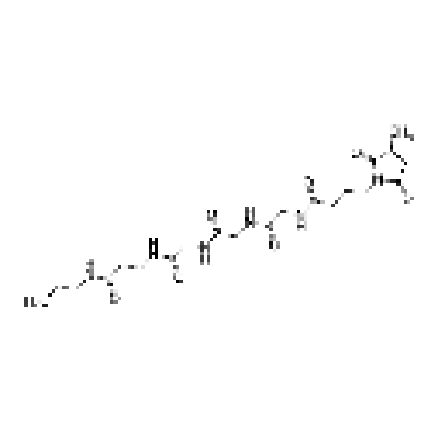 CCCNC(=O)CCNC(=O)CNC(=O)CNC(=O)CNC(=O)CCCN1C(=O)CC(C)C1=O